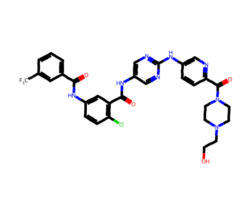 O=C(Nc1ccc(Cl)c(C(=O)Nc2cnc(Nc3ccc(C(=O)N4CCN(CCO)CC4)nc3)nc2)c1)c1cccc(C(F)(F)F)c1